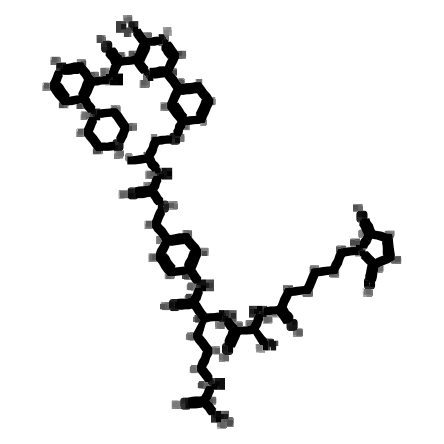 CC(COc1cccc(-c2cnc(N)c(C(=O)Nc3cnccc3N3CCOCC3)n2)c1)NC(=O)OCc1ccc(NC(=O)[C@H](CCCNC(N)=O)NC(=O)[C@@H](NC(=O)CCCCCN2C(=O)C=CC2=O)C(C)C)cc1